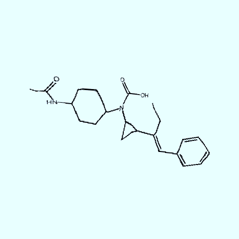 CC/C(=C\c1ccccc1)C1CC1N(C(=O)O)C1CCC(NC(C)=O)CC1